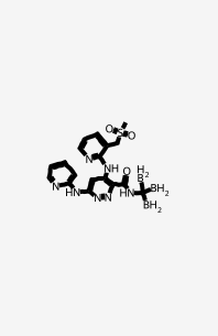 BC(B)(B)NC(=O)c1nnc(Nc2ccccn2)cc1Nc1ncccc1CS(C)(=O)=O